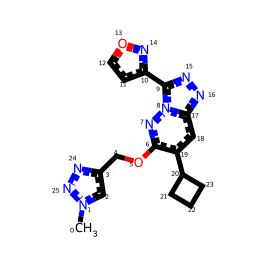 Cn1cc(COc2nn3c(-c4ccon4)nnc3cc2C2CCC2)nn1